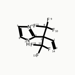 C=CC(c1ncc[nH]1)(C(F)(F)F)C(F)(F)F